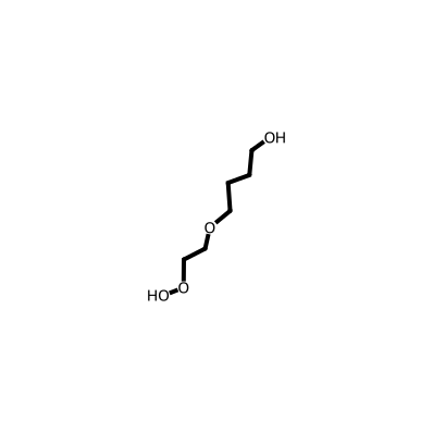 OCCCCOCCOO